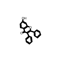 O=c1c(-c2ccccc2)c(-c2ccccc2)oc2cc(O)ccc12